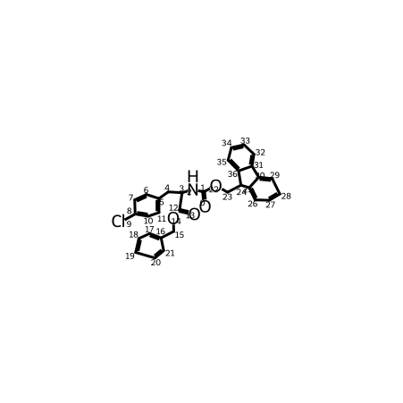 O=C(NC(Cc1ccc(Cl)cc1)C(=O)OCc1ccccc1)OCC1c2ccccc2-c2ccccc21